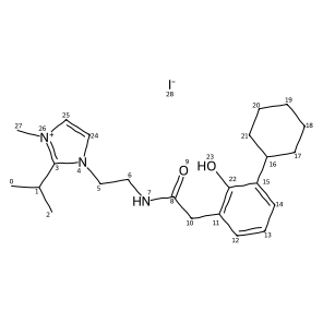 CC(C)c1n(CCNC(=O)Cc2cccc(C3CCCCC3)c2O)cc[n+]1C.[I-]